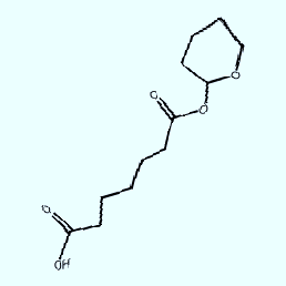 O=C(O)CCCCCC(=O)OC1CCCCO1